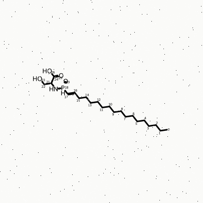 CCCCCCCCCCCCCCCCC=C[PH](=O)NC(CO)C(=O)O